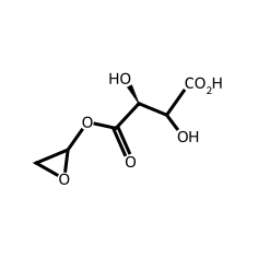 O=C(O)C(O)[C@H](O)C(=O)OC1CO1